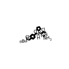 CCCCN(C)Cc1ccc(C(=O)NN(c2nc(N)ncc2Cl)C2CCCC2)cc1